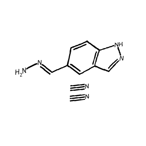 C#N.C#N.NN=Cc1ccc2[nH]ncc2c1